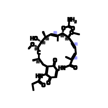 CCC(=O)NC1=C2C[C@@H](C)C[C@H](OC)[C@H](O)[C@@H](C)/C=C(\C)[C@H](OC(N)=O)[C@@H](OC)/C=C\C=C(/C)C(=O)NC(=CC1=O)C2=O